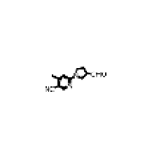 Cc1cc(N2CCC(C=O)C2)ncc1C#N